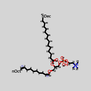 CCCCCCCC/C=C\CCCCCC/C=C\OC[C@H](COP(=O)(O)OCC[N+](C)(C)C)OC(=O)CCCCCCCCCCCCCCCCCCCCCCC